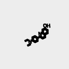 CCN(CC)c1ccc(-c2ccc3ccc(O)cc3n2)cc1